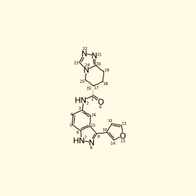 O=C(Nc1ccc2[nH]nc(-c3ccoc3)c2c1)[C@H]1CCc2nncn2C1